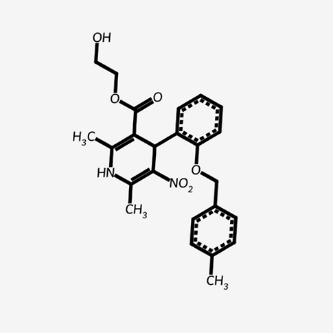 CC1=C(C(=O)OCCO)C(c2ccccc2OCc2ccc(C)cc2)C([N+](=O)[O-])=C(C)N1